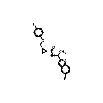 CC(NC(=O)[C@@H]1C[C@H]1COc1ccc(F)cc1)c1cc2cc(F)ccc2o1